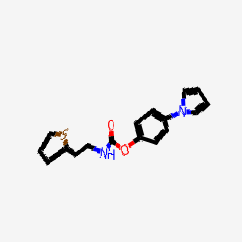 O=C(NCCc1cccs1)Oc1ccc(-n2cccc2)cc1